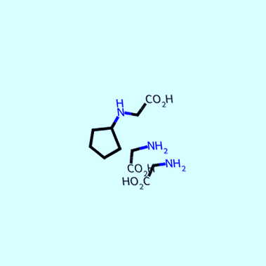 NCC(=O)O.NCC(=O)O.O=C(O)CNC1CCCC1